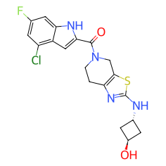 O=C(c1cc2c(Cl)cc(F)cc2[nH]1)N1CCc2nc(N[C@H]3C[C@H](O)C3)sc2C1